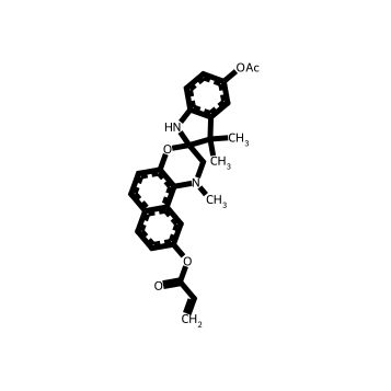 C=CC(=O)Oc1ccc2ccc3c(c2c1)N(C)CC1(Nc2ccc(OC(C)=O)cc2C1(C)C)O3